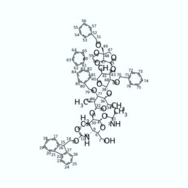 CC(=N)O[C@H]1OC(CO)[C@H](NC(=O)OCC2c3ccccc3-c3ccccc32)C(C)[C@H]1O[C@@H]1OC(C)[C@H](O[C@@H]2OC[C@@H](C)C(O[C@@H]3OC[C@@]4(COCc5ccccc5)O[C@@H](c5ccccc5)OC34)[C@H]2OCc2ccccc2)C(OCc2ccccc2)[C@@H]1C